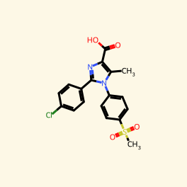 Cc1c(C(=O)O)nc(-c2ccc(Cl)cc2)n1-c1ccc(S(C)(=O)=O)cc1